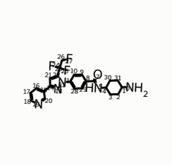 NC1CCC(NC(=O)c2ccc(-n3nc(-c4cccnc4)cc3C(F)(F)CF)cc2)CC1